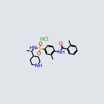 Cc1cc(S(=O)(=O)N[C@H](C)C2CCNCC2)ccc1NC(=O)c1ccccc1C.Cl